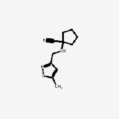 Cc1cc(CNC2(C#N)CCCC2)no1